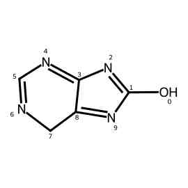 OC1=NC2=NC=NCC2=N1